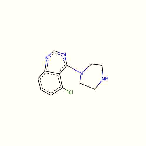 Clc1cccc2ncnc(N3CCNCC3)c12